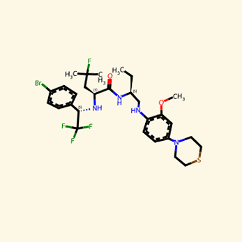 CC[C@@H](CNc1ccc(N2CCSCC2)cc1OC)NC(=O)[C@H](CC(C)(C)F)N[C@@H](c1ccc(Br)cc1)C(F)(F)F